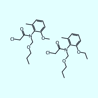 CCCOCN(C(=O)CCl)c1c(C)cccc1OC.CCCOCN(C(=O)CCl)c1c(C)cccc1OCC